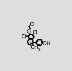 CN1CCc2c(cc(Cl)c(OCCCl)c2Cl)C1c1ccc(O)cc1